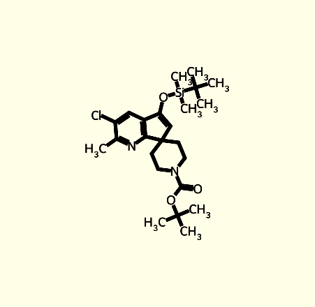 Cc1nc2c(cc1Cl)C(O[Si](C)(C)C(C)(C)C)=CC21CCN(C(=O)OC(C)(C)C)CC1